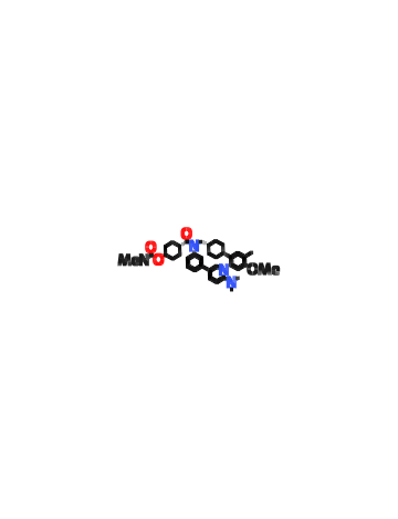 CNC(=O)O[C@H]1CC[C@H](C(=O)N(C[C@H]2CC[C@H](c3ccc(OC)c(C)c3)CC2)c2cccc(-c3ccc(N(C)C)nc3)c2)CC1